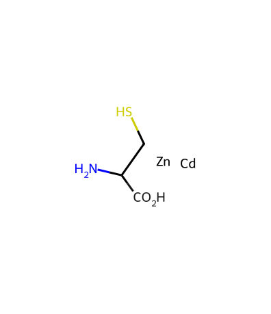 NC(CS)C(=O)O.[Cd].[Zn]